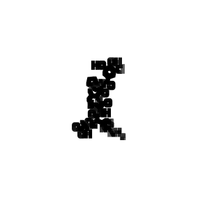 CC(C)(O/N=C(\C(=O)N[C@@H]1C(=O)N2C(C=O)=C(C[N+]3(CCNC(=O)c4cc(O)c(O)c(Cl)c4)CCCC3)CS[C@H]12)c1csc(N)n1)C(=O)O